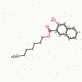 CCCCCCCCCCCCCCCCOC(=O)c1cc2ccccc2cc1O